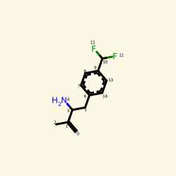 C=C(C)C(N)Cc1ccc(C(F)F)cc1